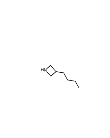 CCC[CH]C1CNC1